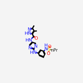 CCCS(=O)(=O)Nc1cccc(Nc2ncc(NC(=O)c3[nH]nc(C)c3C)cn2)c1